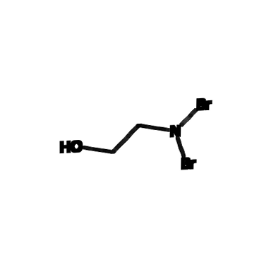 OCCN(Br)Br